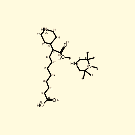 CN1C(C)(C)CNCC1(C)C.COC(=O)C(CCCCCCCC(=O)O)C1CCNCC1